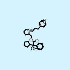 C[N@@+]1(CCCc2ccncc2)CCCC1COC(=O)C(O)(c1ccccc1)C1CCCC1